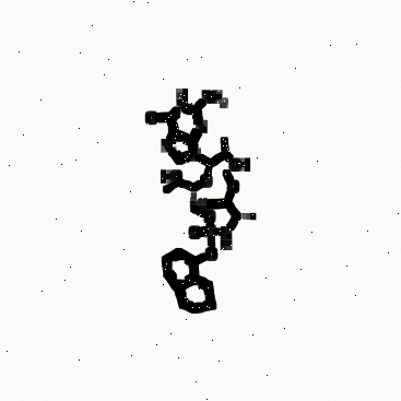 COC(=O)[C@H](C)NP(=O)(OC[C@@H](O[C@H](C(C)O)n1cnc2c(=O)[nH]c(N)nc21)[C@@H](C)O)Oc1cccc2ccccc12